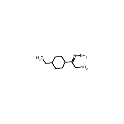 CCC1CCC(/C(CN)=N/N)CC1